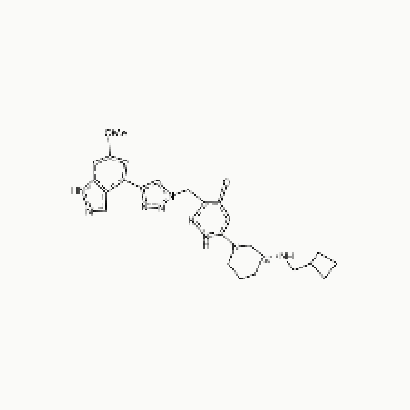 COc1cc(-c2cn(Cc3n[nH]c(N4CCC[C@@H](NCC5CCC5)C4)cc3=O)nn2)c2cn[nH]c2c1